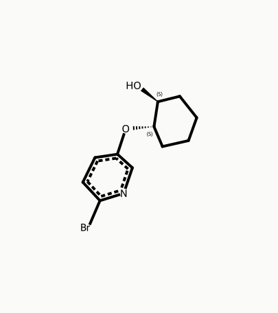 O[C@H]1CCCC[C@@H]1Oc1ccc(Br)nc1